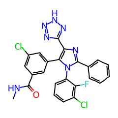 CNC(=O)c1cc(Cl)cc(-c2c(-c3nn[nH]n3)nc(-c3ccccc3)n2-c2cccc(Cl)c2F)c1